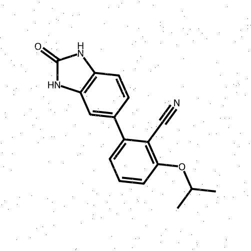 CC(C)Oc1cccc(-c2ccc3[nH]c(=O)[nH]c3c2)c1C#N